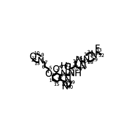 COc1c(OCCCN2CCOCC2)ccc2c1NC(NC(=O)c1cnc(N3CCN(C(C)F)CC3)nc1)N1CCN=C21